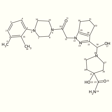 Cc1cccc(N2CCN(C(=O)Cn3nc(C(O)N4CCC(O)(C(N)=O)CC4)c4c3CCC4)CC2)c1C